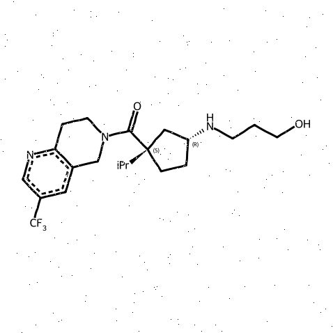 CC(C)[C@]1(C(=O)N2CCc3ncc(C(F)(F)F)cc3C2)CC[C@@H](NCCCO)C1